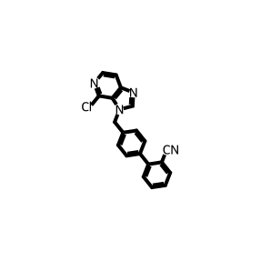 N#Cc1ccccc1-c1ccc(Cn2cnc3ccnc(Cl)c32)cc1